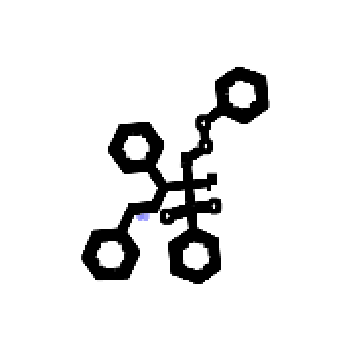 O=S(=O)(c1ccccc1)C(F)(SOOc1ccccc1)C(/C=C/c1ccccc1)c1ccccc1